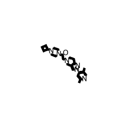 Cc1cc(-n2cc3c(n2)CCN(CC(=O)N2CCN(C4CCC4)CC2)C3)c(C)cn1